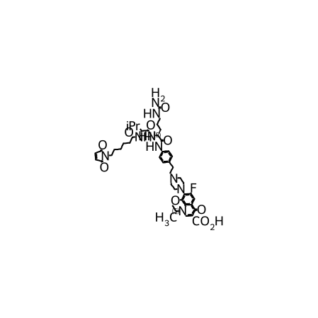 CC(C)C(NC(=O)CCCCCN1C(=O)C=CC1=O)C(=O)N[C@@H](CCCNC(N)=O)C(=O)Nc1ccc(CCN2CCN(c3c(F)cc4c(=O)c(C(=O)O)cn5c4c3OC[C@@H]5C)CC2)cc1